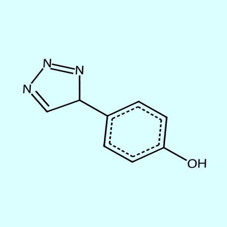 Oc1ccc(C2C=NN=N2)cc1